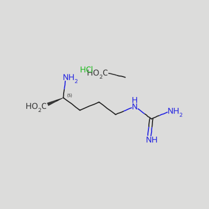 CC(=O)O.Cl.N=C(N)NCCC[C@H](N)C(=O)O